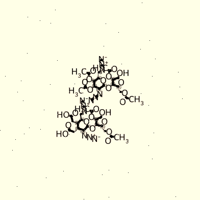 CC(=O)OC[C@H]1OC(O)[C@H](OC(C)=O)[C@@H]1O[C@H]1O[C@@H](CN=[N+]=[N-])[C@@H](OC(C)=O)[C@H](OC(C)=O)[C@H]1N=[N+]=[N-].CC(=O)OC[C@H]1OC(O)[C@H](OC(C)=O)[C@@H]1O[C@H]1O[C@H](CN=[N+]=[N-])[C@H](CC(=O)O)[C@@H](CC(=O)O)[C@H]1N=[N+]=[N-]